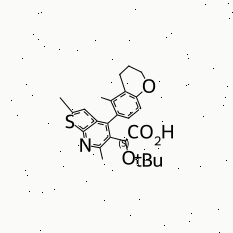 Cc1cc2c(-c3ccc4c(c3C)CCCO4)c([C@H](OC(C)(C)C)C(=O)O)c(C)nc2s1